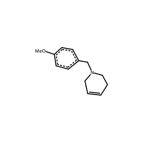 COc1ccc(CN2CC=CCC2)cc1